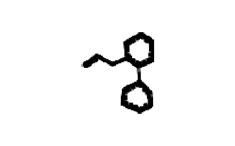 [CH]=CCc1ccccc1-c1ccccc1